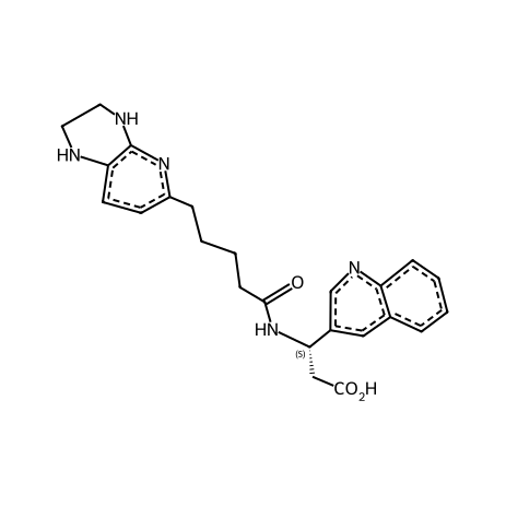 O=C(O)C[C@H](NC(=O)CCCCc1ccc2c(n1)NCCN2)c1cnc2ccccc2c1